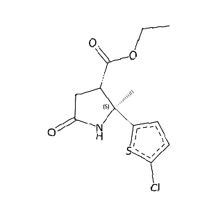 CCOC(=O)C1CC(=O)N[C@]1(C)c1ccc(Cl)s1